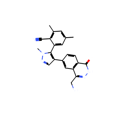 Cc1cc(C)c(C#N)c(-c2c(-c3ccc4c(=O)[nH]nc(CN)c4c3)cnn2C)c1